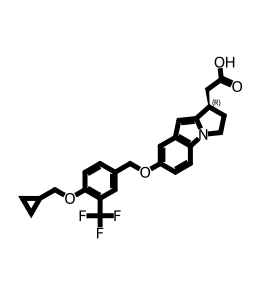 O=C(O)C[C@H]1CCn2c1cc1cc(OCc3ccc(OCC4CC4)c(C(F)(F)F)c3)ccc12